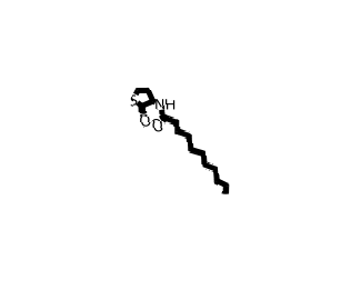 C=CCCCCCCCCC(=O)NC1CCSC1=O